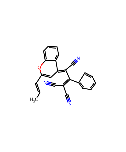 C/C=C/C1=CC(=C(/C#N)C(=C(C#N)C#N)c2ccccc2)/c2ccccc2O1